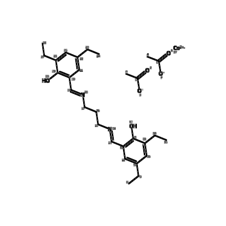 CC(=O)[O-].CC(=O)[O-].CCc1cc(C=NCCCN=Cc2cc(CC)cc(CC)c2O)c(O)c(CC)c1.[Co+2]